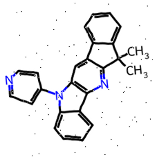 CC1(C)c2ccccc2-c2cc3c(nc21)c1ccccc1n3-c1ccncc1